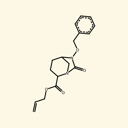 C=CCOC(=O)C1CCC2CN1C(=O)N2OCc1ccccc1